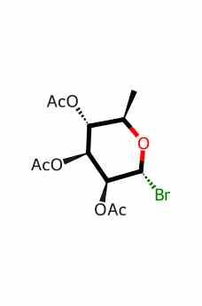 CC(=O)O[C@H]1[C@H](OC(C)=O)[C@@H](C)O[C@H](Br)[C@H]1OC(C)=O